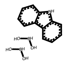 OBO.OBO.c1ccc2c(c1)[nH]c1ccccc12